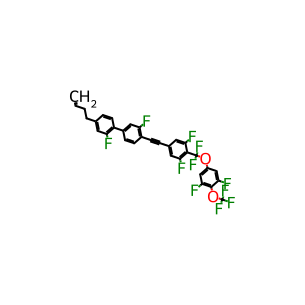 C=CCCc1ccc(-c2ccc(C#Cc3cc(F)c(C(F)(F)Oc4cc(F)c(OC(F)(F)F)c(F)c4)c(F)c3)c(F)c2)c(F)c1